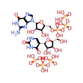 Nc1nc2c(ncn2[C@@H]2O[C@H](COP(=O)(O)OP(=O)(O)OP(=O)(O)O)[C@@H](O)[C@H]2O)c(=O)[nH]1.O=P(O)(O)OP(=O)(O)OP(=O)(O)O.O=c1[nH]cc([C@@H]2O[C@H](CO)[C@@H](O)[C@H]2O)c(=O)[nH]1